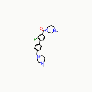 CN1CCCN(Cc2ccc(-c3ccc(C(=O)N4CCCN(C)CC4)cc3F)cc2)CC1